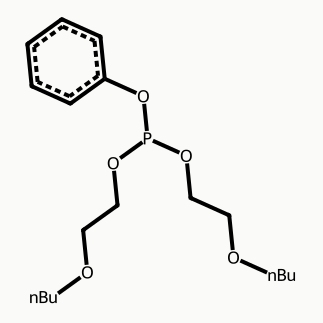 CCCCOCCOP(OCCOCCCC)Oc1ccccc1